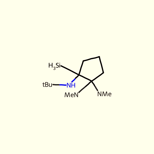 CNC1(NC)CCCC1([SiH3])NC(C)(C)C